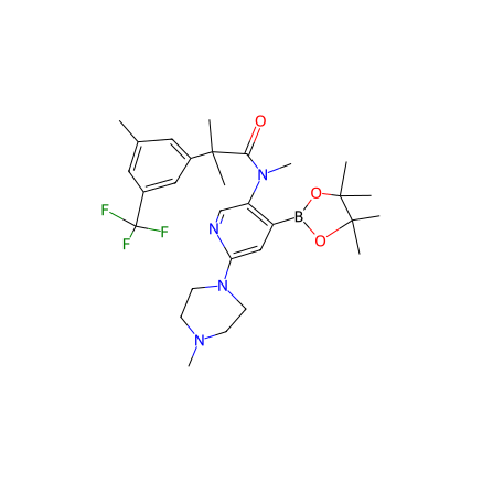 Cc1cc(C(F)(F)F)cc(C(C)(C)C(=O)N(C)c2cnc(N3CCN(C)CC3)cc2B2OC(C)(C)C(C)(C)O2)c1